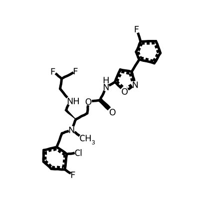 CN(Cc1cccc(F)c1Cl)[C@@H](CNCC(F)F)COC(=O)Nc1cc(-c2cccc(F)c2)no1